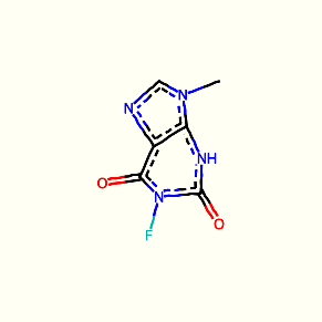 Cn1cnc2c(=O)n(F)c(=O)[nH]c21